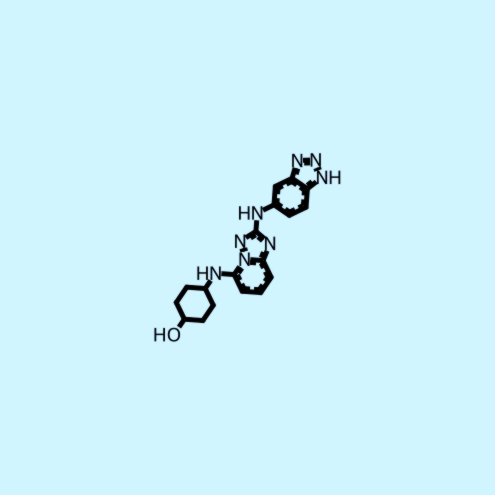 OC1CCC(Nc2cccc3nc(Nc4ccc5[nH]nnc5c4)nn23)CC1